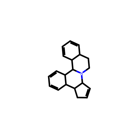 C1=CC2CCN3C4C=CCC4C4C=CC=CC4C3C2C=C1